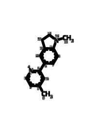 Cc1ccnc(-c2ccc3c(c2)CCN3C)c1